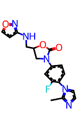 Cc1nccn1-c1ccc(N2CC(CNc3ccon3)OC2=O)cc1F